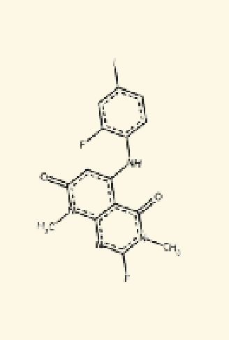 Cn1c(F)nc2c(c(Nc3ccc(I)cc3F)cc(=O)n2C)c1=O